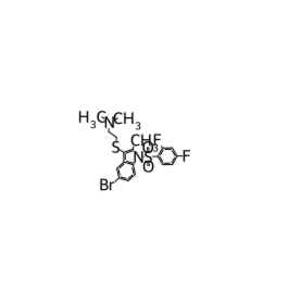 Cc1c(SCCN(C)C)c2cc(Br)ccc2n1S(=O)(=O)c1ccc(F)cc1F